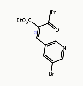 CCOC(=O)/C(=C/c1cncc(Br)c1)C(=O)C(C)C